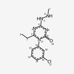 CCc1nc(NNC)nc(=O)n1-c1cccc(Cl)c1